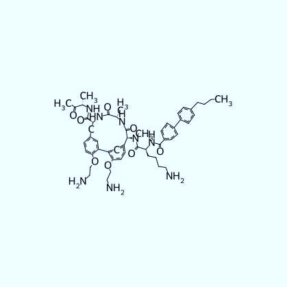 CCCCc1ccc(-c2ccc(C(=O)N[C@@H](CCCCN)C(=O)N(C)[C@@H]3C(=O)N[C@@H](C)C(=O)N[C@H](C(=O)N[C@@H](C)C(C)=O)Cc4ccc(OCCN)c(c4)-c4cc3ccc4OCCN)cc2)cc1